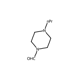 [CH2]CCN1CCN(C=O)CC1